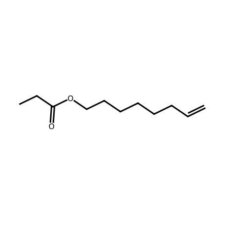 C=CCCCCCCOC(=O)CC